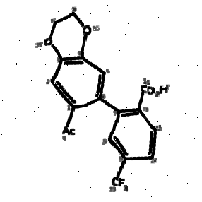 CC(=O)c1cc2c(cc1-c1cc(C(F)(F)F)ccc1C(=O)O)OCCO2